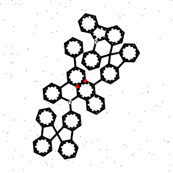 c1ccc(-c2cccc(-c3ccccc3N(c3ccc4c(c3)C3(c5ccccc5-c5ccccc53)c3ccccc3-4)c3ccc(-c4ccc5c(c4)C4(c6ccccc6-5)c5ccccc5-n5c6ccccc6c6cccc4c65)c4ccccc34)c2)cc1